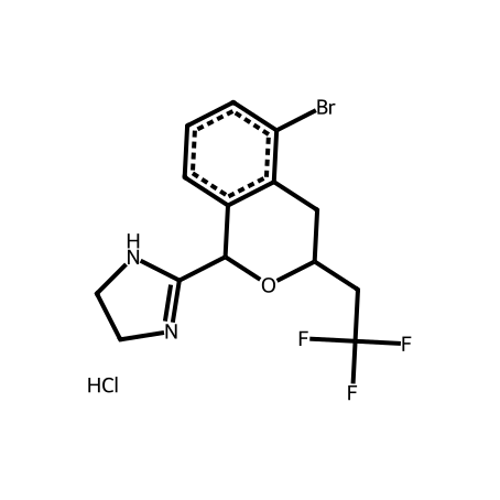 Cl.FC(F)(F)CC1Cc2c(Br)cccc2C(C2=NCCN2)O1